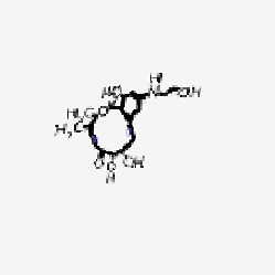 C[C@@H]1/C=C\C(=O)[C@@H](O)[C@@H](O)C/C=C/c2cc(NCCO)cc(O)c2C(=O)O[C@H]1C